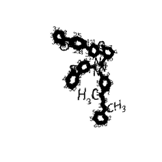 C/C(=C\C=C(/C)c1cccc(-c2nc(C3=CC=CC4Oc5cc(-c6ccc7c(c6)oc6ccccc67)ccc5C34)nc(-c3ccc4sc5ccccc5c4c3)n2)c1)c1ccccc1